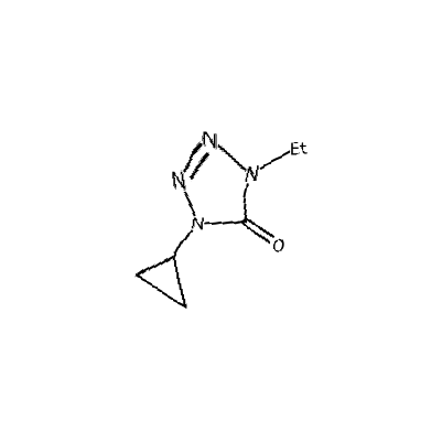 CCn1nnn(C2CC2)c1=O